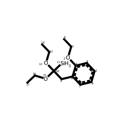 CCOc1ccccc1CC([SiH3])(OCC)OCC